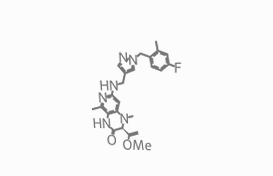 C=C(OC)[C@H]1C(=O)Nc2c(cc(NCc3cnn(Cc4ccc(F)cc4C)c3)nc2C)N1C